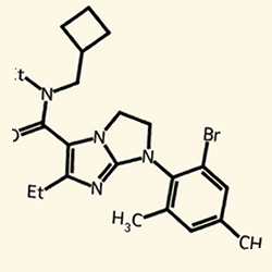 CCc1nc2n(c1C(=O)N(CC)CC1CCC1)CCN2c1c(C)cc(C)cc1Br